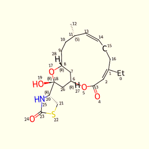 CCC1=CC(=O)O[C@@H]2C[C@@H](CC[C@H](C)C=CCC1)O[C@@](O)([C@@H]1CSC(=O)N1)C2